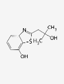 CC(C)(O)Cc1nc2cccc(O)c2s1